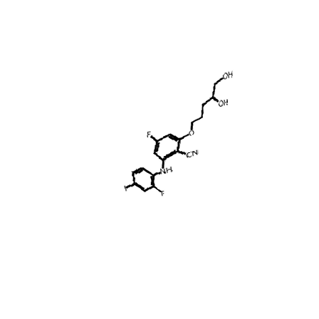 N#Cc1c(Nc2ccc(I)cc2F)cc(F)cc1OCCCC(O)CO